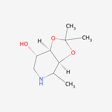 CC1NC[C@H](O)[C@H]2OC(C)(C)O[C@@H]12